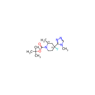 C[C@H]1C[C@](F)(c2nncn2C)CCN1C(=O)OC(C)(C)C